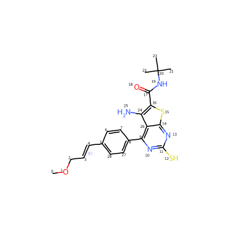 COC/C=C/c1ccc(-c2nc(S)nc3sc(C(=O)NC(C)(C)C)c(N)c23)cc1